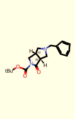 CC(C)(C)OC(=O)N1C[C@@H]2CN(Cc3ccccc3)C[C@@H]2C1=O